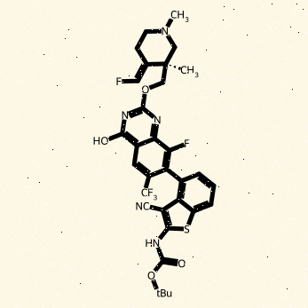 CN1CC/C(=C\F)[C@](C)(COc2nc(O)c3cc(C(F)(F)F)c(-c4cccc5sc(NC(=O)OC(C)(C)C)c(C#N)c45)c(F)c3n2)C1